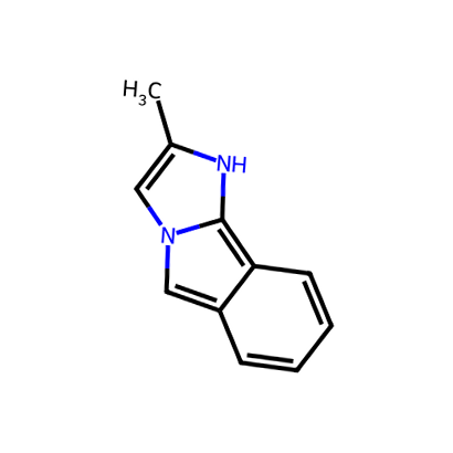 Cc1cn2cc3ccccc3c2[nH]1